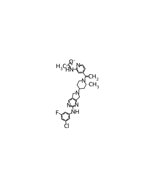 C=C(c1ccnc(N[S+](C)[O-])c1)N1CC[C@H](N2Cc3cnc(Nc4cc(F)cc(Cl)c4)nc3C2)C[C@H]1C